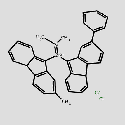 Cc1ccc2c(c1)[C]([Zr+2]([C]1=C3C=CC=CC3c3ccc(-c4ccccc4)cc31)=[Si](C)C)=C1C=CC=CC12.[Cl-].[Cl-]